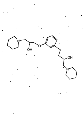 OC(CCc1cccc(OCC(O)CN2CCCCC2)c1)CN1CCCCC1